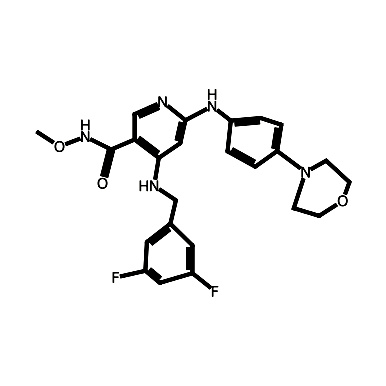 CONC(=O)c1cnc(Nc2ccc(N3CCOCC3)cc2)cc1NCc1cc(F)cc(F)c1